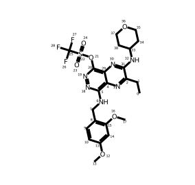 CCc1nc2c(NCc3ccc(OC)cc3OC)nnc(OS(=O)(=O)C(F)(F)F)c2nc1NC1CCOCC1